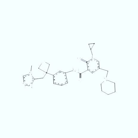 Cn1cnnc1CC1(c2cccc(NC(=O)c3cc(CN4CCCCC4)cn(C4CC4)c3=O)c2)COC1